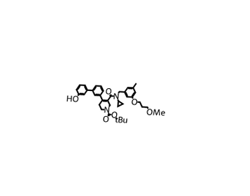 COCCCOc1cc(C)cc(CN(C(=O)C2=C(c3cccc(-c4cccc(O)c4)c3)CCN(C(=O)OC(C)(C)C)C2)C2CC2)c1